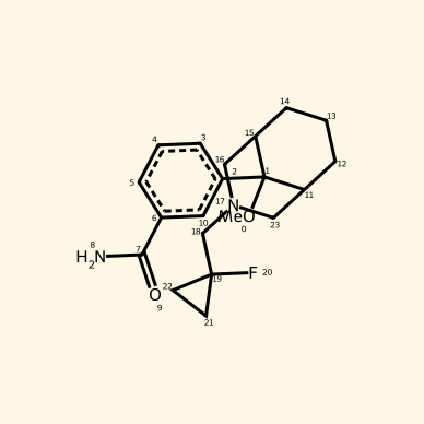 COC1(c2cccc(C(N)=O)c2)C2CCCC1CN(CC1(F)CC1)C2